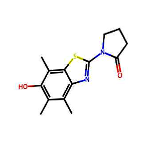 Cc1c(O)c(C)c2sc(N3CCCC3=O)nc2c1C